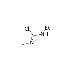 CCN/C(Cl)=N/C